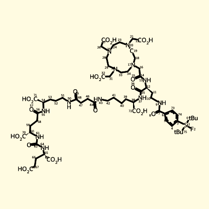 CC(C)(C)[Si](F)(c1ccc(C(=O)NCC[C@H](NC(=O)CN2CCN(CC(=O)O)CCN(CC(=O)O)CCN(CC(=O)O)CC2)C(=O)N[C@H](CCCCNC(=O)CCC(=O)NCCC[C@@H](NC(=O)CC[C@H](NC(=O)N[C@@H](CCC(=O)O)C(=O)O)C(=O)O)C(=O)O)C(=O)O)cc1)C(C)(C)C